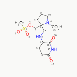 CS(=O)(=O)OCC1(CNC2CCC(=O)NC2=O)CCCN1C(=O)O